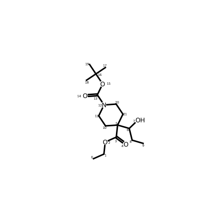 CCOC(=O)C1(C(O)CC)CCN(C(=O)OC(C)(C)C)CC1